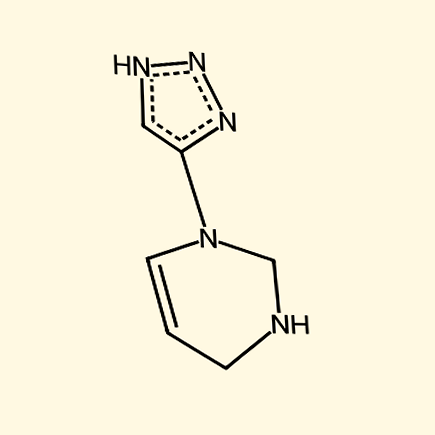 C1=CN(c2c[nH]nn2)CNC1